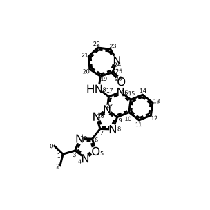 CC(C)c1noc(-c2nc3c4ccccc4nc(Nc4ccccnc4=O)n3n2)n1